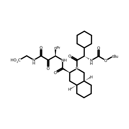 CCC[C@@H](NC(=O)[C@@H]1C[C@@H]2CCCC[C@@H]2CN1C(=O)[C@@H](NC(=O)OC(C)(C)C)C1CCCCC1)C(=O)C(=O)NCC(=O)O